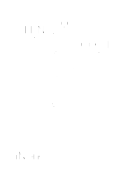 CCCCCCCCCCCCCC/C=C/C(CC(N)=O)C(=O)O